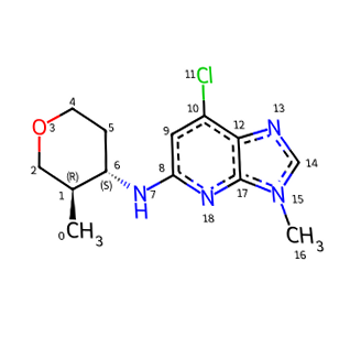 C[C@H]1COCC[C@@H]1Nc1cc(Cl)c2ncn(C)c2n1